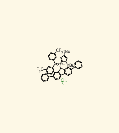 CCCCC1C=C(C(C)(C)C)C=[C]1[Zr+2](=[C](c1cccc(C(F)(F)F)c1)c1cccc(C(F)(F)F)c1)[CH]1c2cc(-c3ccccc3)ccc2-c2ccc(-c3ccccc3)cc21.[Cl-].[Cl-]